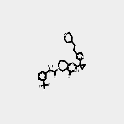 O=C([C@H](O)c1cccc(C(F)(F)F)c1)N1CCCc2nc(C3(c4cc(CCC5CCOCC5)cs4)CC3)[nH]c(=O)c2C1